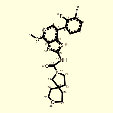 COc1ncc(-c2cccc(F)c2F)c2sc(NC(=O)N3CCC4(CCOCC4)C3)nc12